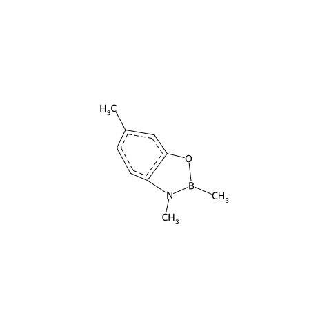 CB1Oc2cc(C)ccc2N1C